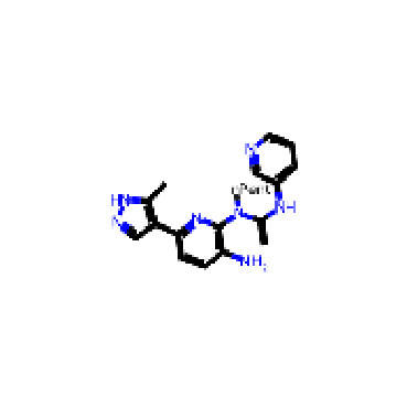 C=C(Nc1cccnc1)N(CCCCC)c1nc(-c2cn[nH]c2C)ccc1N